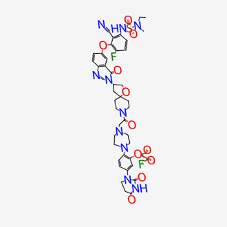 CCN(C)S(=O)(=O)Nc1ccc(F)c(Oc2ccc3ncn([C@@H]4COC5(CCN(C(=O)CN6CCN(c7ccc(N8CCC(=O)NC8=O)cc7OS(=O)(=O)F)CC6)CC5)C4)c(=O)c3c2)c1C#N